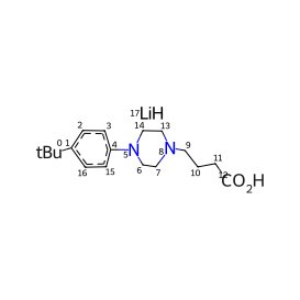 CC(C)(C)c1ccc(N2CCN(CCCC(=O)O)CC2)cc1.[LiH]